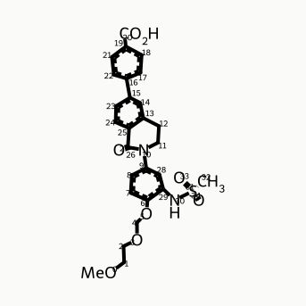 COCCOCOc1ccc(N2CCc3cc(-c4ccc(C(=O)O)cc4)ccc3C2=O)cc1NS(C)(=O)=O